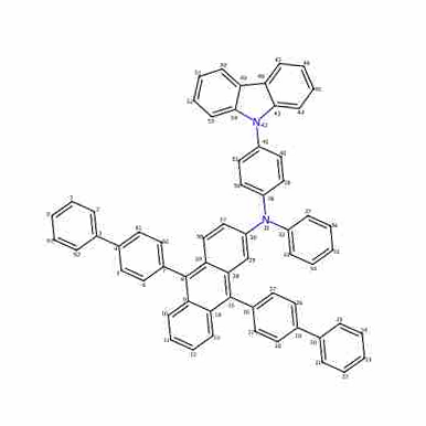 c1ccc(-c2ccc(-c3c4ccccc4c(-c4ccc(-c5ccccc5)cc4)c4cc(N(c5ccccc5)c5ccc(-n6c7ccccc7c7ccccc76)cc5)ccc34)cc2)cc1